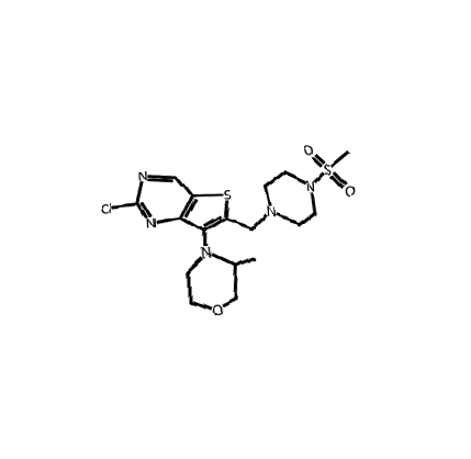 CC1COCCN1c1c(CN2CCN(S(C)(=O)=O)CC2)sc2cnc(Cl)nc12